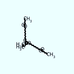 CCCCCCC(=O)OCCCCCCCCCCOc1cc(CN(C)C)cc(OCCCCCCCCCCOC(=O)CCCCC)c1